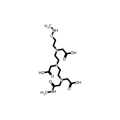 CNOCCN(CCN(CCN(CC(=O)O)CC(=O)NC)CC(=O)O)CC(=O)O